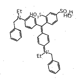 CCN(Cc1ccccc1)c1ccc(C(=C2C=CC(=[N+](CC)Cc3ccccc3)C=C2)c2ccc(S(=O)(=O)O)cc2S(=O)(=O)O)cc1.[OH-]